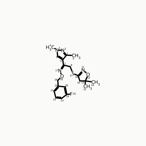 Cc1nn(C)cc1C(CSC1=NOC(C)(C)C1)=NOCc1cccc(F)c1